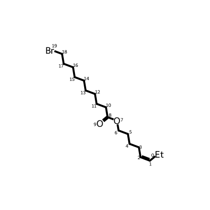 CC/C=C\CCCCOC(=O)CCCCCCCCCBr